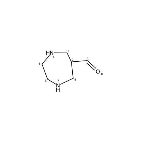 O=[C]C1CNCCNC1